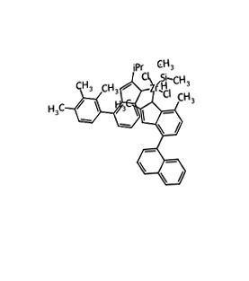 CC1=Cc2c(-c3cccc4ccccc34)ccc(C)c2[CH]1[Zr]([Cl])([Cl])([CH]1C(C(C)C)=Cc2c(-c3ccc(C)c(C)c3C)cccc21)[SiH](C)C